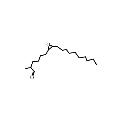 CCCCCCCCCCC1OC1CCCCC(C)C=O